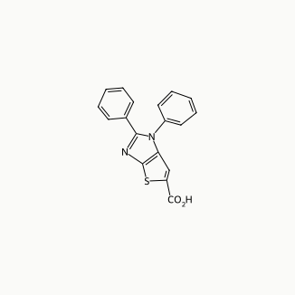 O=C(O)c1cc2c(nc(-c3ccccc3)n2-c2ccccc2)s1